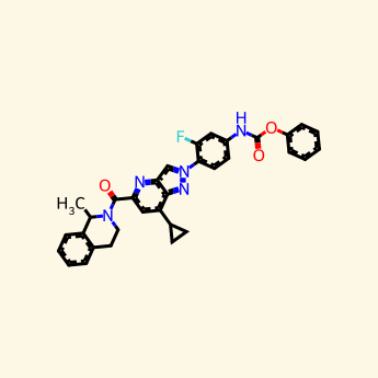 CC1c2ccccc2CCN1C(=O)c1cc(C2CC2)c2nn(-c3ccc(NC(=O)Oc4ccccc4)cc3F)cc2n1